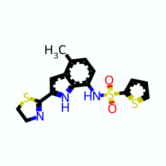 Cc1ccc(NS(=O)(=O)c2cccs2)c2[nH]c(C3=NCCS3)cc12